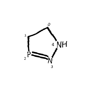 C1CP=NN1